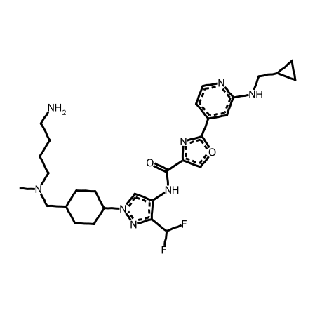 CN(CCCCN)CC1CCC(n2cc(NC(=O)c3coc(-c4ccnc(NCC5CC5)c4)n3)c(C(F)F)n2)CC1